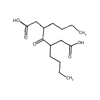 CCCCC(CC(=O)O)C(=O)C(CCCC)CC(=O)O